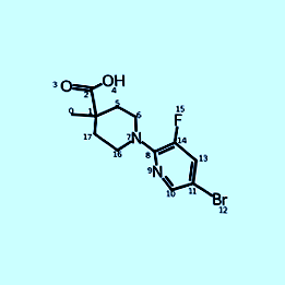 CC1(C(=O)O)CCN(c2ncc(Br)cc2F)CC1